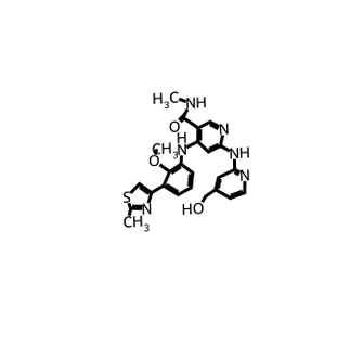 CNC(=O)c1cnc(Nc2cc(CO)ccn2)cc1Nc1cccc(-c2csc(C)n2)c1OC